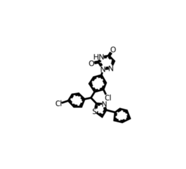 O=c1cnn(-c2ccc(C(c3ccc(Cl)cc3)c3nc(-c4ccccc4)cs3)c(Cl)c2)c(=O)[nH]1